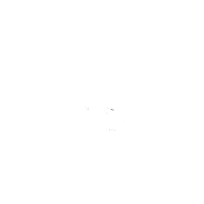 COC(=O)[C@@H](NC(=O)[C@@H](N)CC(=O)O)[C@@H](C)OC1C(C)CC1C